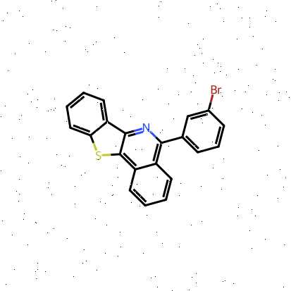 Brc1cccc(-c2nc3c4ccccc4sc3c3ccccc23)c1